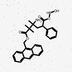 CC(N)(CC(C(=O)OBO)c1ccccc1)C(C)(C)C(=O)OCc1c2ccccc2cc2ccccc12